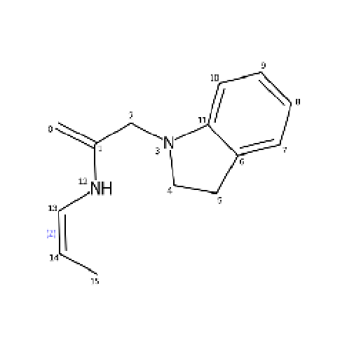 C=C(CN1CCc2ccccc21)N/C=C\C